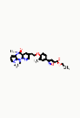 CCOC(=O)c1cc(-c2ccc(OCCc3cnc4c(c3)C(=O)N(C)c3cccnc3N4CC)c(C)c2)no1